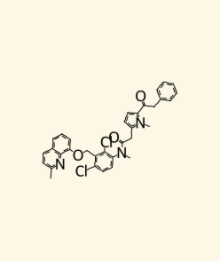 Cc1ccc2cccc(OCc3c(Cl)ccc(N(C)C(=O)Cc4ccc(C(=O)Cc5ccccc5)n4C)c3Cl)c2n1